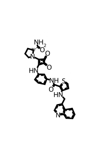 NC(=O)[C@H]1CCCN1c1c(Nc2cccc(NC(=O)c3sccc3NCc3ccnc4ccccc34)c2)c(=O)c1=O